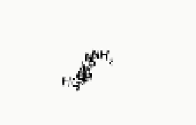 C#CC1(O)CC[C@H]2[C@@H]3CC=C4c5sc(N)nc5CC[C@]4(C)[C@H]3CC[C@@]21C